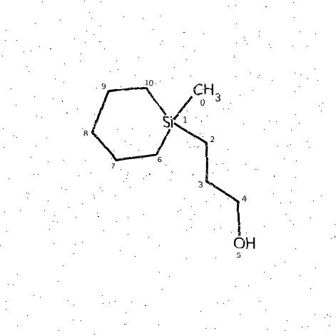 C[Si]1(CCCO)CCCCC1